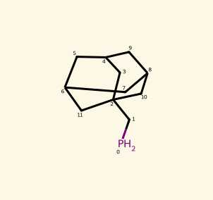 P[CH]C12CC3CC(CC(C3)C1)C2